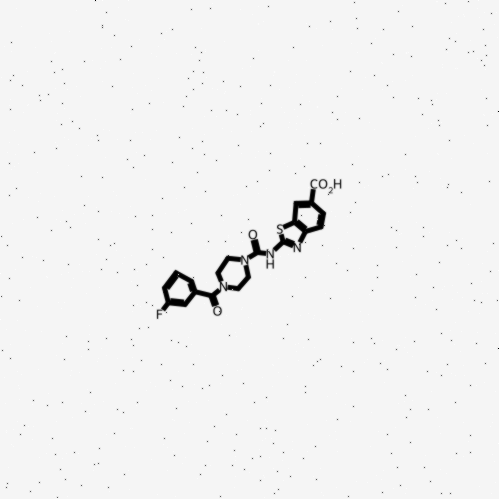 O=C(O)c1ccc2nc(NC(=O)N3CCN(C(=O)c4cccc(F)c4)CC3)sc2c1